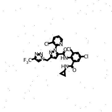 O=C(NC1CC1)c1cc(Cl)cc(Cl)c1NC(=O)c1cc(Cn2cc(C(F)(F)F)nn2)nn1-c1ncccc1Cl